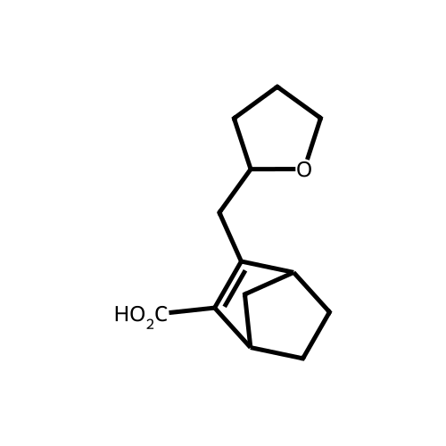 O=C(O)C1=C(CC2CCCO2)C2CCC1C2